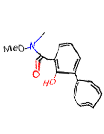 CON(C)C(=O)c1cccc(-c2ccccc2)c1O